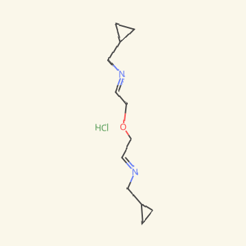 C(COCC=NCC1CC1)=NCC1CC1.Cl